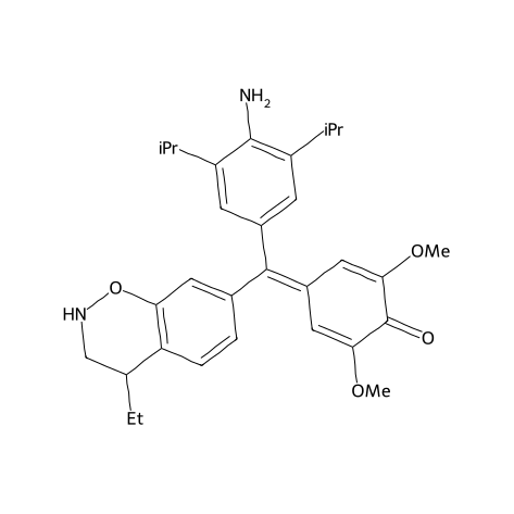 CCC1CNOc2cc(C(=C3C=C(OC)C(=O)C(OC)=C3)c3cc(C(C)C)c(N)c(C(C)C)c3)ccc21